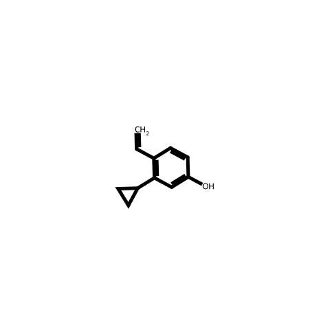 C=Cc1ccc(O)cc1C1CC1